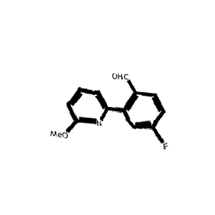 COc1cccc(-c2cc(F)ccc2C=O)n1